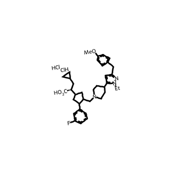 CCn1nc(Cc2ccc(OC)cc2)cc1C1CCN(CC2CC([C@H](CC3CC3)C(=O)O)CC2c2cccc(F)c2)CC1.Cl.Cl